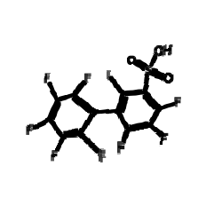 O=S(=O)(O)c1c(F)c(F)c(F)c(-c2c(F)c(F)c(F)c(F)c2F)c1I